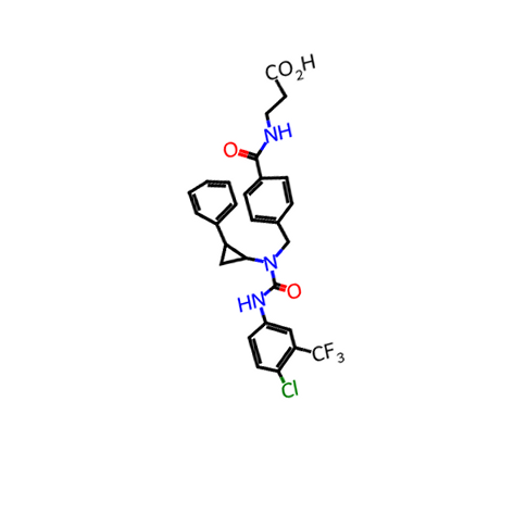 O=C(O)CCNC(=O)c1ccc(CN(C(=O)Nc2ccc(Cl)c(C(F)(F)F)c2)C2CC2c2ccccc2)cc1